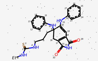 CCNC(=S)NCCCC1(Nc2ccccc2)CC2=C(C=C1Nc1ccccc1)C(=O)NC2=O